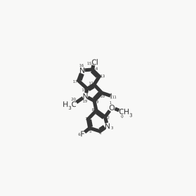 COc1ncc(F)cc1-c1c(I)c2cc(Cl)ncc2n1C